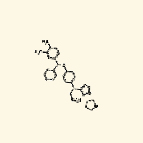 C1CCOC1.Cc1ccc(C(Oc2ccc(C(CC(=O)O)c3ccon3)cc2)c2ccccc2)cc1C